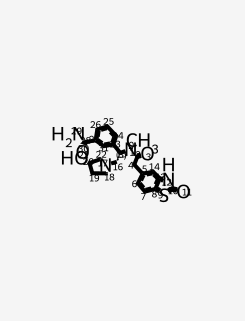 CN(C(=O)Cc1ccc2sc(=O)[nH]c2c1)[C@H](CN1CCC(O)C1)c1cccc(C(N)=O)c1